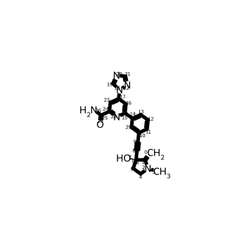 C=C1N(C)CC[C@@]1(O)C#Cc1cccc(-c2cc(-n3cncn3)cc(C(N)=O)n2)c1